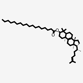 CCCCCCCCCCCCCCCCCC(=O)OC1CC[C@]2(C)C3=C(CCC2C1(C)C)[C@]1(C)CC[C@H]([C@H](C)CCC=C(C)C)[C@@]1(C)CC3